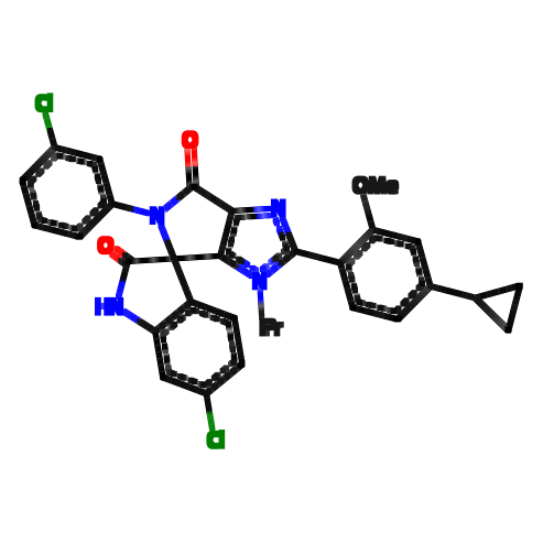 COc1cc(C2CC2)ccc1-c1nc2c(n1C(C)C)C1(C(=O)Nc3cc(Cl)ccc31)N(c1cccc(Cl)c1)C2=O